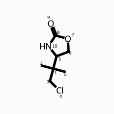 CC(C)(CCl)C1COC(=O)N1